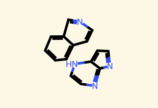 c1c[nH]c2ccnc-2n1.c1ccc2cnccc2c1